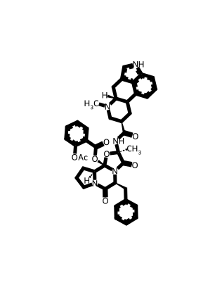 CC(=O)Oc1ccccc1C(=O)O[C@@]12O[C@@](C)(NC(=O)[C@@H]3CC4c5cccc6[nH]cc(c56)C[C@H]4N(C)C3)C(=O)N1[C@@H](Cc1ccccc1)C(=O)N1CCC[C@H]12